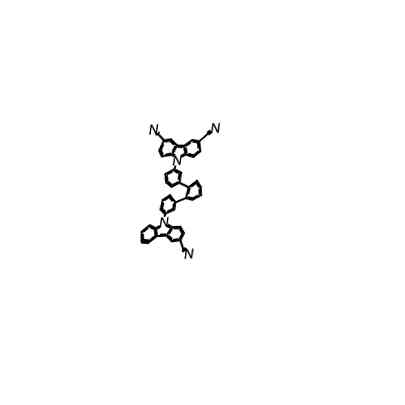 N#Cc1ccc2c(c1)c1c#cccc1n2-c1cccc(-c2ccccc2-c2cccc(-n3c4ccc(C#N)cc4c4cc(C#N)ccc43)c2)c1